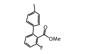 COC(=O)c1c(F)cccc1-c1ccc(C)cc1